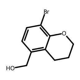 OCc1ccc(Br)c2c1CCCO2